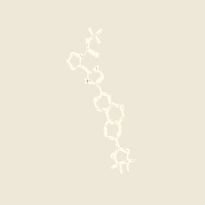 CC(C)(C)OC(=O)N1CCCC1c1ncc(-c2ccc3c(c2)OCc2cc(B4OC(C)(C)C(C)(C)O4)ccc2-3)[nH]1